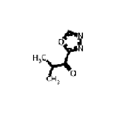 CC(C)C(=O)c1nnco1